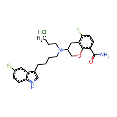 CCCN(CCCCc1c[nH]c2ccc(F)cc12)C1COc2c(C(N)=O)ccc(F)c2C1.Cl